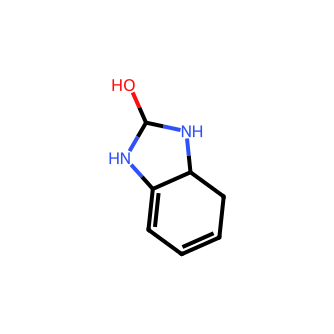 OC1NC2=CC=CCC2N1